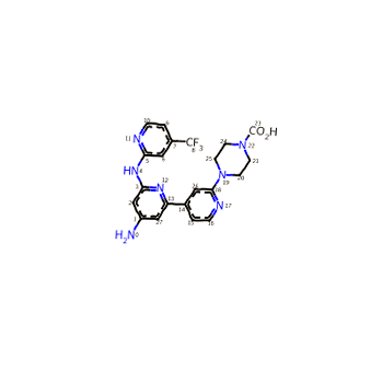 Nc1cc(Nc2cc(C(F)(F)F)ccn2)nc(-c2ccnc(N3CCN(C(=O)O)CC3)c2)c1